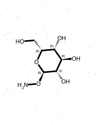 NO[C@H]1O[C@H](CO)[C@H](O)[C@@H](O)[C@@H]1O